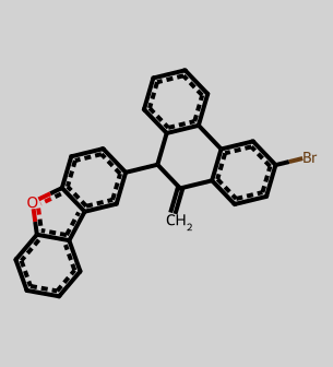 C=C1c2ccc(Br)cc2-c2ccccc2C1c1ccc2oc3ccccc3c2c1